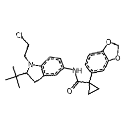 CC(C)(C)C1Cc2cc(NC(=O)C3(c4ccc5c(c4)OCO5)CC3)ccc2N1CCCl